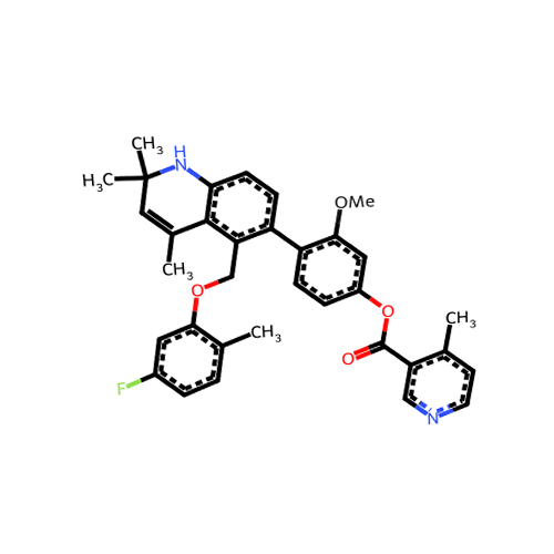 COc1cc(OC(=O)c2cnccc2C)ccc1-c1ccc2c(c1COc1cc(F)ccc1C)C(C)=CC(C)(C)N2